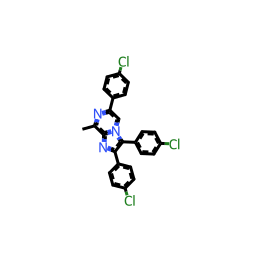 Cc1nc(-c2ccc(Cl)cc2)cn2c(-c3ccc(Cl)cc3)c(-c3ccc(Cl)cc3)nc12